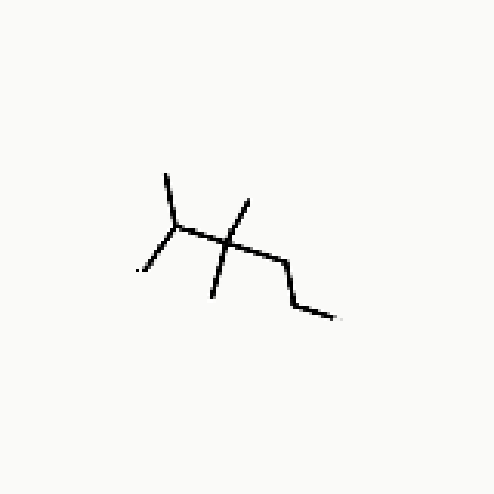 [CH2]CCC(C)(C)C([CH2])C